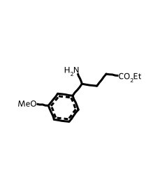 CCOC(=O)CCC(N)c1cccc(OC)c1